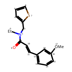 CCN(Cc1cccs1)C(=O)C=Cc1cccc(OC)c1